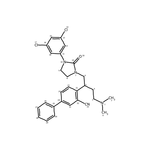 CN(C)CCC(CN1CCN(c2cc(Cl)cc(Cl)c2)C1=O)c1ccc(-c2ccccc2)cc1C#N